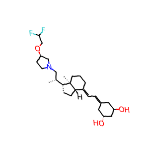 C[C@H](CN1CC[C@@H](OCC(F)F)C1)[C@H]1CC[C@H]2/C(=C/C=C3C[C@@H](O)C[C@H](O)C3)CCC[C@]12C